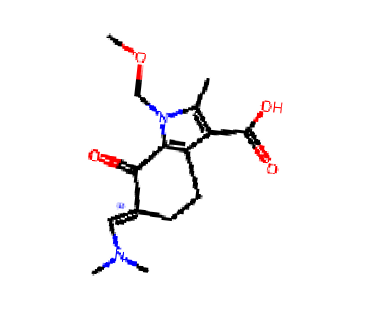 COCn1c(C)c(C(=O)O)c2c1C(=O)/C(=C/N(C)C)CC2